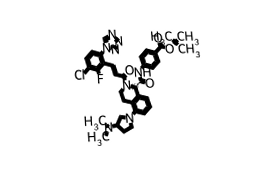 CN(C)C1CCN(c2cccc3c2CCN(C(=O)C=Cc2c(-n4cnnn4)ccc(Cl)c2F)[C@@H]3C(=O)Nc2ccc(C(=O)OC(C)(C)C)cc2)C1